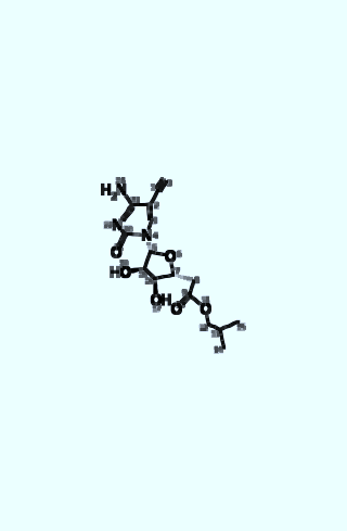 C#Cc1cn([C@@H]2O[C@H](CC(=O)OCC(C)C)[C@@H](O)[C@H]2O)c(=O)nc1N